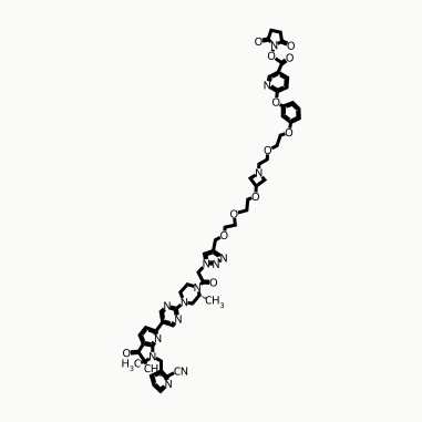 C[C@@H]1CN(c2ncc(-c3ccc4c(n3)N(Cc3cccnc3C#N)C(C)(C)C4=O)cn2)CCN1C(=O)Cn1cc(COCCOCCOC2CN(CCOCCOc3cccc(Oc4ccc(C(=O)ON5C(=O)CCC5=O)cn4)c3)C2)nn1